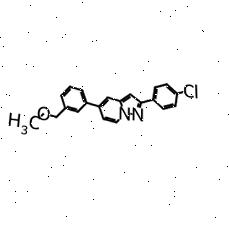 COCc1cccc(-c2ccn3nc(-c4ccc(Cl)cc4)cc3c2)c1